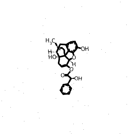 CN1CCC23c4c5ccc(O)c4O[C@H]2C(OC(=O)[C@@H](O)c2ccccc2)=CC[C@@]3(O)[C@H]1C5